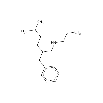 [CH2]CCNCC(CCC(C)C)Cc1ccccc1